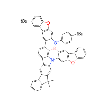 CC(C)(C)c1ccc(N2B3c4cc5c(cc4-n4c6cc7c(cc6c6ccc(c3c64)-c3cc4c(cc32)oc2ccc(C(C)(C)C)cc24)-c2ccccc2C7(C)C)oc2ccccc25)cc1